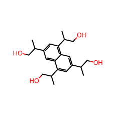 CC(CO)c1cc(C(C)CO)c2cc(C(C)CO)cc(C(C)CO)c2c1